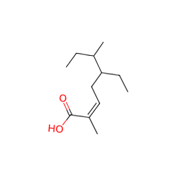 CCC(C)C(CC)CC=C(C)C(=O)O